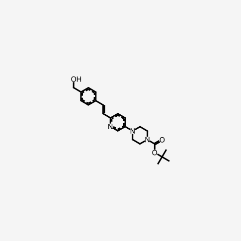 CC(C)(C)OC(=O)N1CCN(c2ccc(C=Cc3ccc(CO)cc3)nc2)CC1